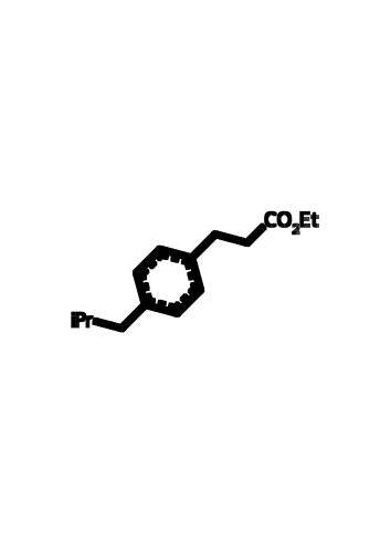 CCOC(=O)CCc1ccc(CC(C)C)cc1